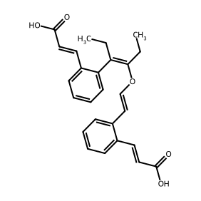 CCC(OC=Cc1ccccc1C=CC(=O)O)=C(CC)c1ccccc1C=CC(=O)O